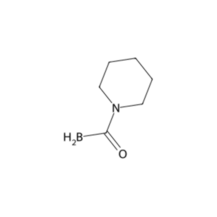 BC(=O)N1CCCCC1